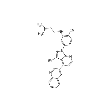 CC(C)c1nn(-c2ccc(C#N)c(NCCN(C)C)c2)c2nccc(-c3cnc4ccccc4c3)c12